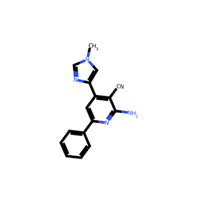 Cn1cnc(-c2cc(-c3ccccc3)nc(N)c2C#N)c1